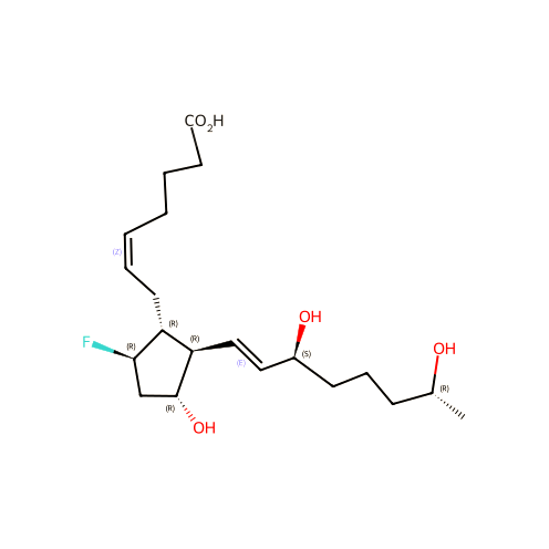 C[C@@H](O)CCC[C@H](O)/C=C/[C@@H]1[C@@H](C/C=C\CCCC(=O)O)[C@H](F)C[C@H]1O